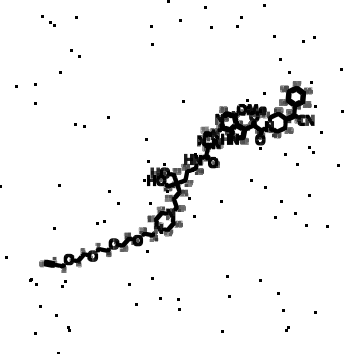 C#CCOCCOCCOCCOCCN1CCN(CCCC(CO)(CO)CCCNC(=O)c2ncn(-c3ncc(OC)c4c(C(=O)C(=O)N5CCC(=C(C#N)c6ccccc6)CC5)c[nH]c34)n2)CC1